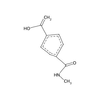 C=C(O)c1ccc(C(=O)NC)cc1